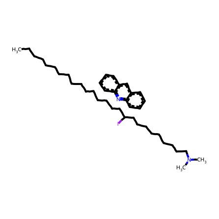 CCCCCCCCCCCCCCCCC(I)CCCCCCCCCN(C)C.c1ccc2nc3ccccc3cc2c1